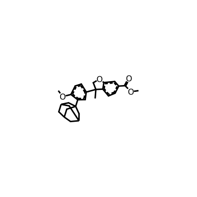 COC(=O)c1ccc2c(c1)OCC2(C)c1ccc(OC)c(C23CC4CC(CC(C4)C2)C3)c1